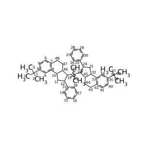 CC(C)(C)c1ccc2c(c1)C1CC(c3ccccc3)C(S(C)(C)C3C(c4ccccc4)CC4c5cc(C(C)(C)C)ccc5CCC43)C1CC2